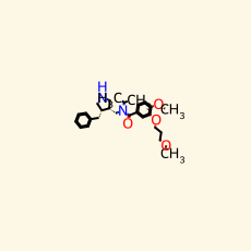 COCCCOc1cc(C(=O)N(C[C@H]2CNC[C@H]2Cc2ccccc2)C(C)C)ccc1OC